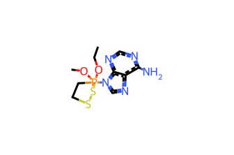 CCOP1(OC)(n2cnc3c(N)ncnc32)CCSS1